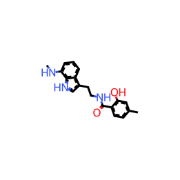 CNc1cccc2c(CCNC(=O)c3ccc(C)cc3O)c[nH]c12